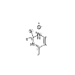 CC1=NC(C)([S])[NH+]([O-])C=C1